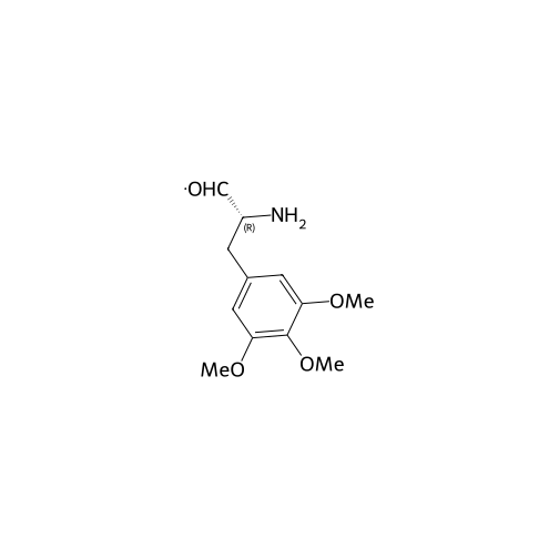 COc1cc(C[C@@H](N)[C]=O)cc(OC)c1OC